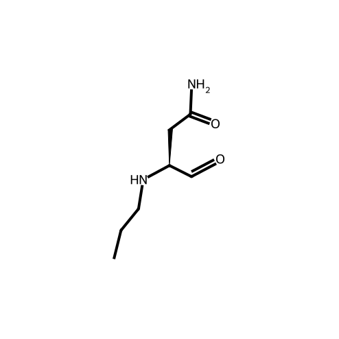 CCCN[C@H](C=O)CC(N)=O